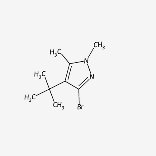 Cc1c(C(C)(C)C)c(Br)nn1C